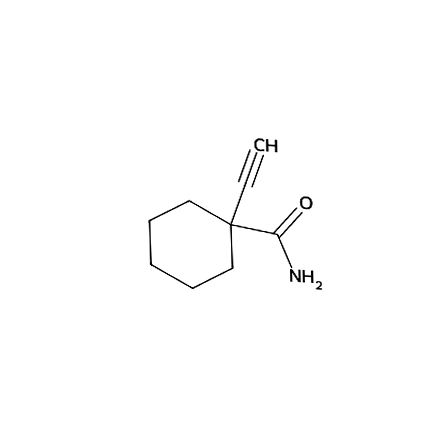 C#CC1(C(N)=O)CCCCC1